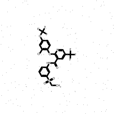 CCS(=O)(=O)c1cccc(NC(=O)c2cc(C(F)(F)F)cnc2Oc2ccc(OC(F)(F)F)cc2Cl)c1